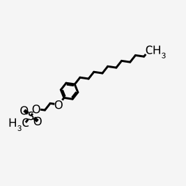 CCCCCCCCCCCc1ccc(OCCOS(C)(=O)=O)cc1